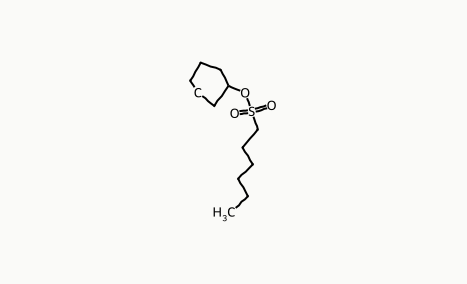 CCCCCCS(=O)(=O)OC1CCCCC1